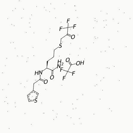 NC(=O)[C@H](CCCSCC(=O)C(F)(F)F)NC(=O)Cc1ccsc1.O=C(O)C(F)(F)F